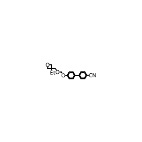 CCC1(COCOc2ccc(-c3ccc(C#N)cc3)cc2)COC1